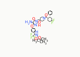 CC(C)(C)OC(=O)N[C@H](c1ccc(Oc2ncn(CC3(O)CCN(C(=O)[C@@H]4CCC(F)(F)C[C@H]4c4ccccc4)CC3)c(=O)c2N)cc1)C(F)(F)F